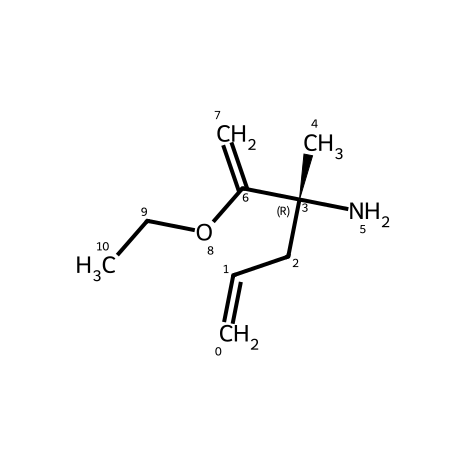 C=CC[C@@](C)(N)C(=C)OCC